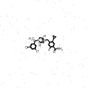 C[C@H](c1cc(Cl)cc(Cl)c1)N1C[C@@H]2C[C@H]1CN2Cc1cc(F)c(C(N)=O)cc1C1CC1